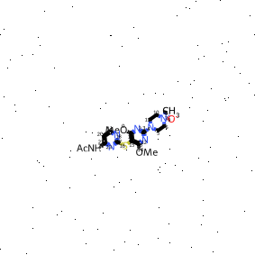 COc1nc(N2CC[N+](C)([O-])CC2)nc(OC)c1Sc1nccc(NC(C)=O)n1